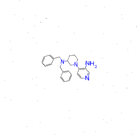 Nc1cnccc1N1CCCC(N(Cc2ccccc2)Cc2ccccc2)C1